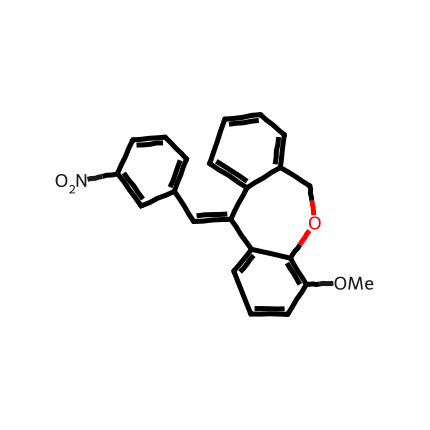 COc1cccc2c1OCc1ccccc1/C2=C\c1cccc([N+](=O)[O-])c1